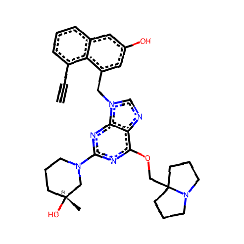 C#Cc1cccc2cc(O)cc(Cn3cnc4c(OCC56CCCN5CCC6)nc(N5CCC[C@@](C)(O)C5)nc43)c12